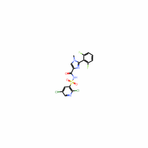 Cn1cc(C(=O)NS(=O)(=O)c2cc(Cl)cnc2Cl)nc1-c1c(F)cccc1F